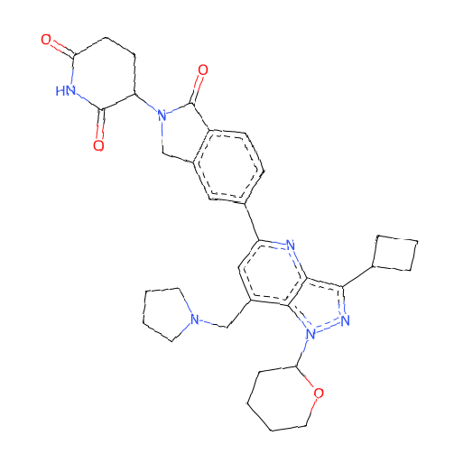 O=C1CCC(N2Cc3cc(-c4cc(CN5CCCC5)c5c(n4)c(C4CCC4)nn5C4CCCCO4)ccc3C2=O)C(=O)N1